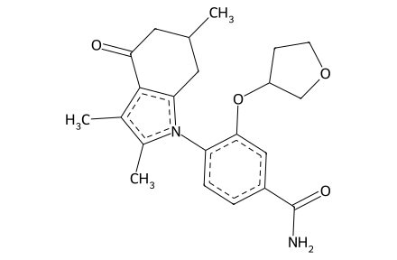 Cc1c2c(n(-c3ccc(C(N)=O)cc3OC3CCOC3)c1C)CC(C)CC2=O